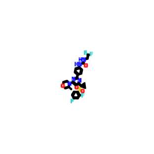 C[C@H]1COCCN1c1cc(C2(S(=O)(=O)c3ccc(F)cc3F)CC2)nc(-c2ccc(NC(=O)NCC(F)F)cc2)n1